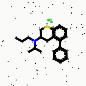 CCCN(C(C)C)C1CSc2cccc(-c3ccccc3)c2C1.Cl